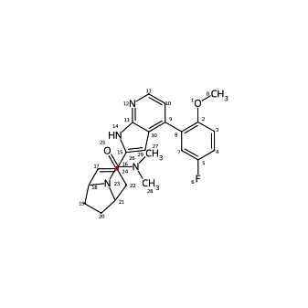 COc1ccc(F)cc1-c1ccnc2[nH]c(C3=CC4CCC(C3)N4C(=O)N(C)C)cc12